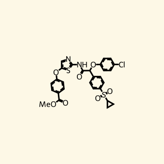 COC(=O)c1ccc(Oc2cnc(NC(=O)C(Oc3ccc(Cl)cc3)c3ccc(S(=O)(=O)C4CC4)cc3)s2)cc1